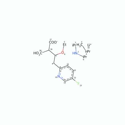 CC(C)NC(C)C.CCCC.CCOC(Cc1ccc(F)cn1)C(C(=O)[O-])C(=O)O.[Li+]